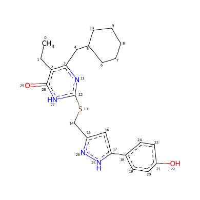 CCc1c(CC2CCCCC2)nc(SCc2cc(-c3ccc(O)cc3)[nH]n2)[nH]c1=O